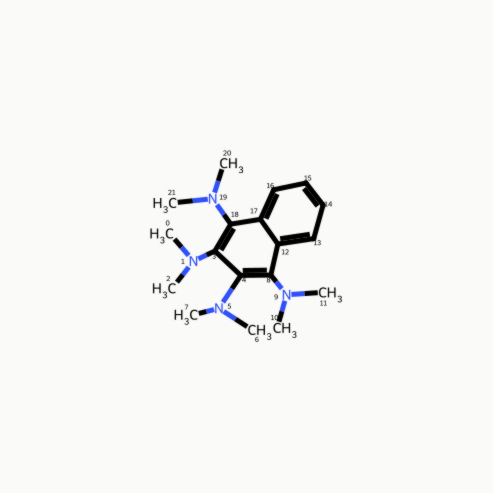 CN(C)c1c(N(C)C)c(N(C)C)c2ccccc2c1N(C)C